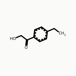 CCc1ccc(C(=O)CO)cc1